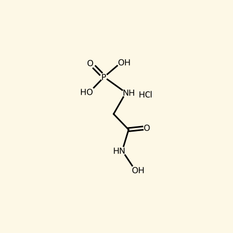 Cl.O=C(CNP(=O)(O)O)NO